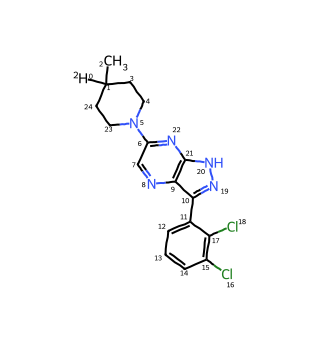 [2H]C1(C)CCN(c2cnc3c(-c4cccc(Cl)c4Cl)n[nH]c3n2)CC1